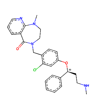 CNCC[C@H](Oc1ccc(CN2CCN(C)c3ncccc3C2=O)c(Cl)c1)c1ccccc1